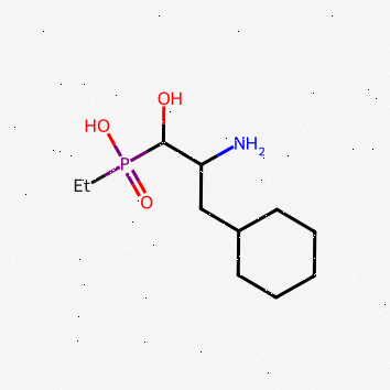 CCP(=O)(O)C(O)C(N)CC1CCCCC1